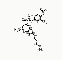 CCCN(Cc1cc(C(F)(F)F)c(CN(C)C)cn1)C(=O)C1=Cc2sc(CCCCCN)cc2N=C(N)C1